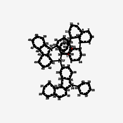 c1ccc(-c2cccc3cccc(-c4ccc(N(c5ccc6c(c5)c5c7ccccc7ccc5n6-c5ccccc5)c5cccc6c7ccccc7n(-c7ccccc7)c56)cc4)c23)cc1